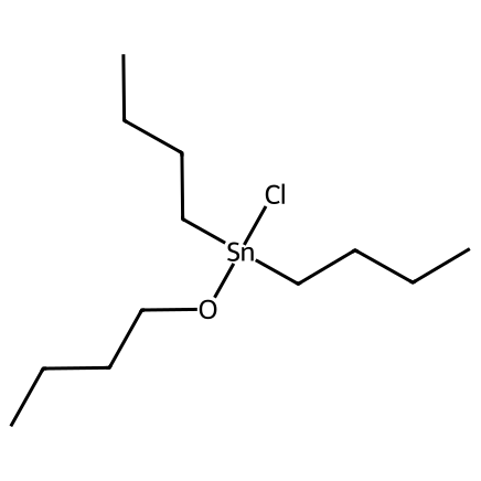 CCCC[O][Sn]([Cl])([CH2]CCC)[CH2]CCC